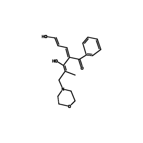 C\C(CN1CCOCC1)=C(O)/C(=C\C=C\O)C(=O)c1ccccc1